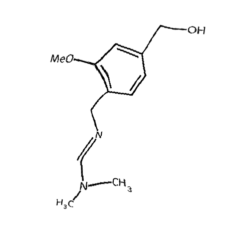 COc1cc(CO)ccc1C/N=C/N(C)C